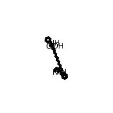 O=C(NC1CCCCC1)N(O)CCCCCCCCCCCCC1(c2cccnc2)C=c2ccccc2=N1